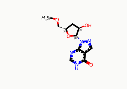 O=c1[nH]cnc2c1cnn2[C@@H]1O[C@H](CO[SiH3])C[C@H]1O